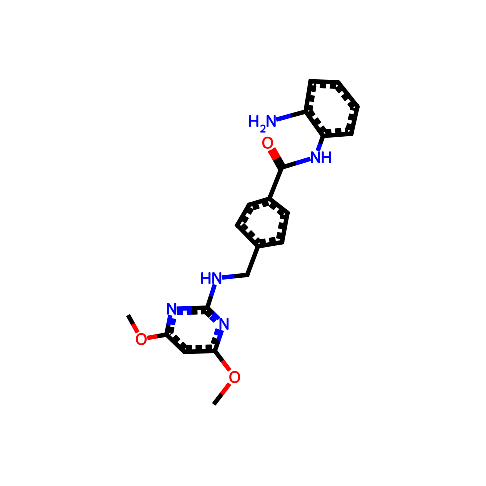 COc1cc(OC)nc(NCc2ccc(C(=O)Nc3ccccc3N)cc2)n1